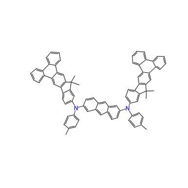 Cc1ccc(N(c2ccc3c(c2)C(C)(C)c2cc4c5ccccc5c5ccccc5c4cc2-3)c2ccc3cc4cc(N(c5ccc(C)cc5)c5ccc6c(c5)C(C)(C)c5cc7c8ccccc8c8ccccc8c7cc5-6)ccc4cc3c2)cc1